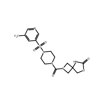 O=C1NC2(CO1)CN(C(=O)N1CCN(S(=O)(=O)c3cncc(C(F)(F)F)c3)CC1)C2